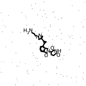 NCCCn1cc(C2=CC2c2cccc3c2CN(C2CCC(=O)NC2=O)C3=O)cn1